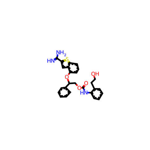 N=C(N)c1cc2c(OC(COC(=O)Nc3ccccc3CCO)c3ccccc3)cccc2s1